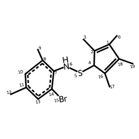 CC1=C(C)C(SNc2c(C)cc(C)cc2Br)C(C)=C1C